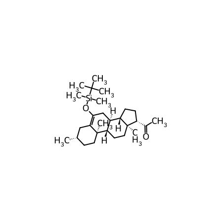 CC(=O)[C@H]1CC[C@H]2[C@@H]3CC(O[Si](C)(C)C(C)(C)C)=C4C[C@@H](C)CC[C@]4(C)[C@H]3CC[C@]12C